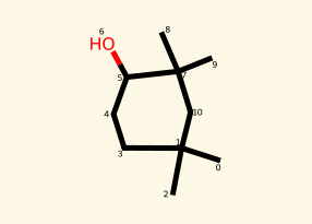 CC1(C)CCC(O)C(C)(C)C1